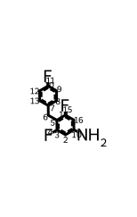 Nc1cc(F)c(Cc2ccc(F)cc2)c(F)c1